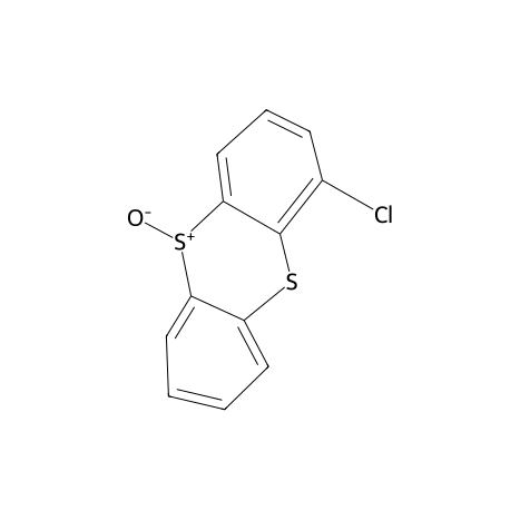 [O-][S+]1c2ccccc2Sc2c(Cl)cccc21